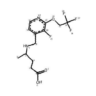 CC(CCC(=O)O)NCc1ccnc(OCC(F)(F)F)c1F